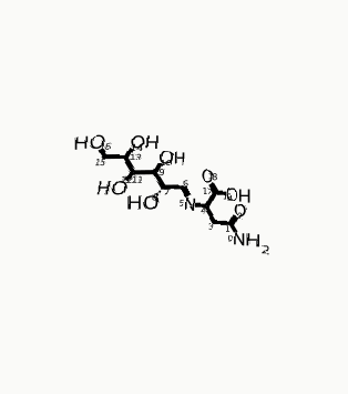 NC(=O)CC(/N=C/[C@H](O)C(O)C(O)C(O)CO)C(=O)O